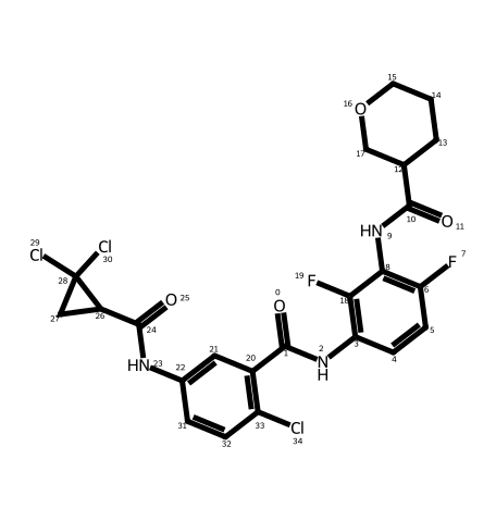 O=C(Nc1ccc(F)c(NC(=O)C2CCCOC2)c1F)c1cc(NC(=O)C2CC2(Cl)Cl)ccc1Cl